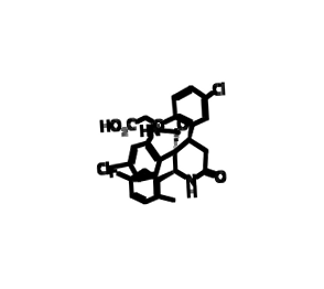 Cc1ccc(F)cc1[C@@H]1NC(=O)C[C@H](c2cc(Cl)ccc2OCC(=O)O)[C@@]12C(=O)Nc1cc(Cl)ccc12